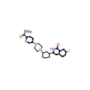 CNC(=O)c1ccc(N2CCN(C3CCCC(c4cc5ccc(F)cc5c(=O)[nH]4)C3)CC2)cn1